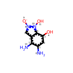 Nc1cc(O)c2c(c[n+]([O-])n2O)c1N